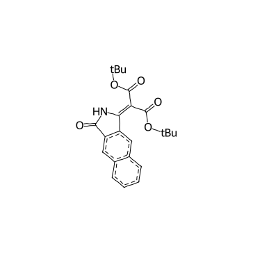 CC(C)(C)OC(=O)C(C(=O)OC(C)(C)C)=C1NC(=O)c2cc3ccccc3cc21